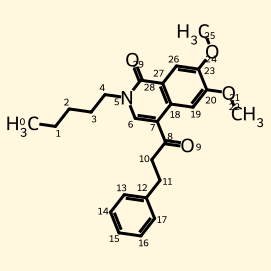 CCCCCn1cc(C(=O)CCc2ccccc2)c2cc(OC)c(OC)cc2c1=O